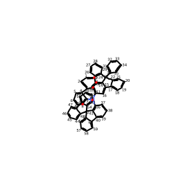 c1ccc(-c2ccccc2N(c2ccc3c(c2)-c2ccccc2C3(c2ccccc2)c2ccccc2)c2cccc3c2C2(c4ccccc4-c4ccccc42)c2ccccc2-3)cc1